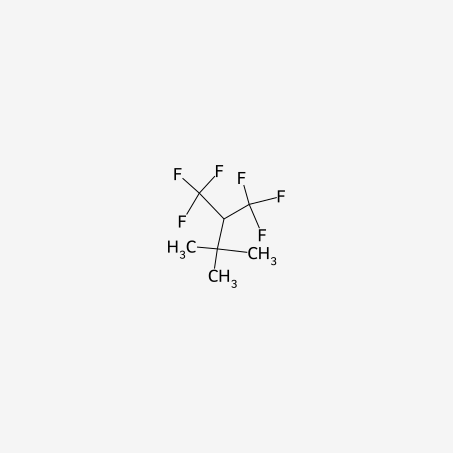 CC(C)(C)C(C(F)(F)F)C(F)(F)F